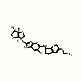 O[C@@H]1CO[C@H]2[C@@H]1OC[C@H]2Oc1nc2nc(NC3CCc4cc(NCC(F)(F)F)cnc43)c(Cl)cc2[nH]1